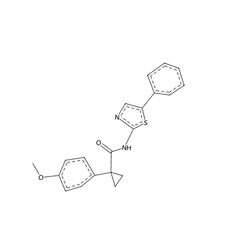 COc1ccc(C2(C(=O)Nc3ncc(-c4ccccc4)s3)CC2)cc1